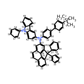 C[Si](C)(C)c1ccc(-c2ccc(N(c3cc4c5c(ccc6cccc(c65)C4(c4ccccc4)c4ccccc4)c3)c3ccc4c(c3)c3ccccc3n4-c3ccccc3)cc2)cc1